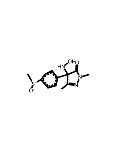 CC1=NN(C)C(=O)C1(NO)c1ccc([S+](C)[O-])cc1